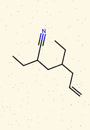 C=CCC(CC)CC(C#N)CC